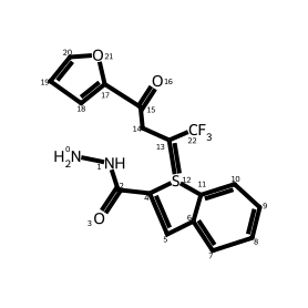 NNC(=O)C1=Cc2ccccc2S1=C(CC(=O)c1ccco1)C(F)(F)F